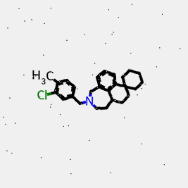 Cc1ccc(CN2CCC3CCC4(CCCCC4)c4cccc(c43)C2)cc1Cl